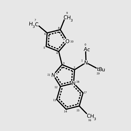 CC(=O)N(c1c(-c2cc(C)c(C)o2)nc2ccc(C)cn12)C(C)(C)C